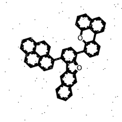 c1cc(-c2ccc(-c3ccc4ccc5cccc6ccc3c4c56)c3c2oc2cc4ccccc4cc23)c2c(c1)-c1cccc3cccc(c13)O2